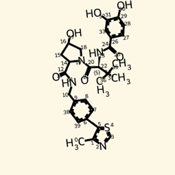 Cc1ncsc1-c1ccc(CNC(=O)C2CC(O)CN2C(=O)[C@@H](NC(=O)c2ccc(O)c(O)c2)C(C)(C)C)cc1